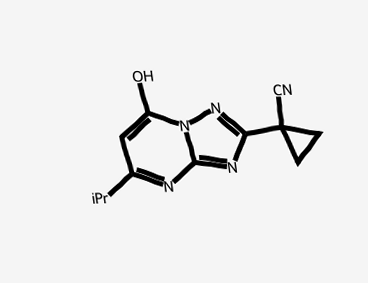 CC(C)c1cc(O)n2nc(C3(C#N)CC3)nc2n1